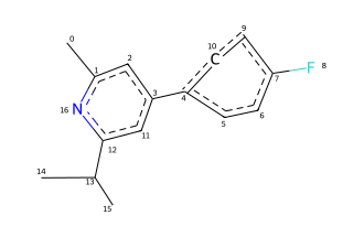 Cc1cc(-c2ccc(F)cc2)cc(C(C)C)n1